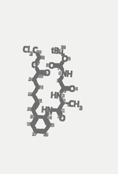 C[C@@H](NC(=O)CNC(=O)OC(C)(C)C)C(=O)Nc1ccccc1/C=C/CCCC(=O)OCC(Cl)(Cl)Cl